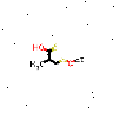 CCOSCC(C)C(O)=S